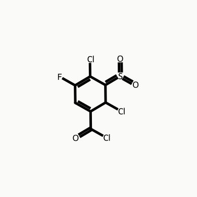 O=C(Cl)C1=CC(F)=C(Cl)C(=S(=O)=O)C1Cl